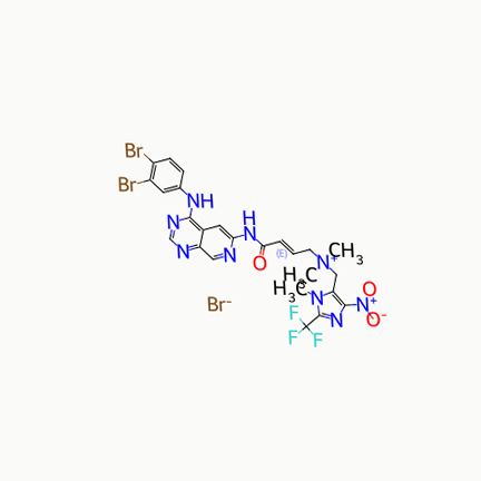 Cn1c(C(F)(F)F)nc([N+](=O)[O-])c1C[N+](C)(C)C/C=C/C(=O)Nc1cc2c(Nc3ccc(Br)c(Br)c3)ncnc2cn1.[Br-]